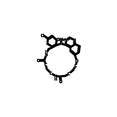 CON1C2=C(CNC(=O)CCCNC(=O)CCCCOc3ccc4ncnc1c4c3)CC(Cl)=CC2